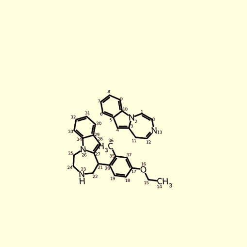 C1=Cn2c(cc3ccccc32)CC=N1.CCOc1ccc(C2CNCCn3c2cc2ccccc23)c(C)c1